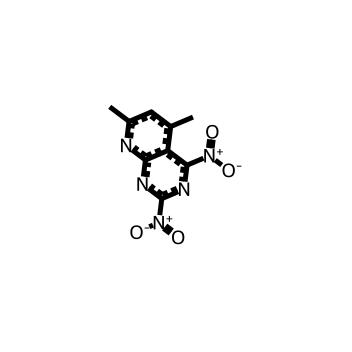 Cc1cc(C)c2c([N+](=O)[O-])nc([N+](=O)[O-])nc2n1